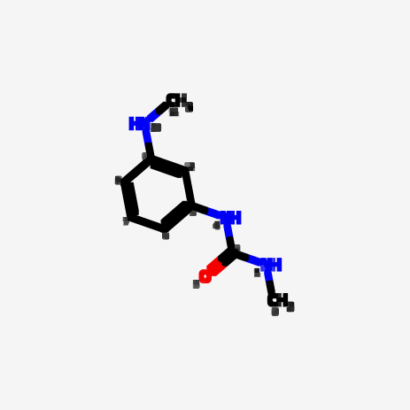 CNC(=O)Nc1cccc(NC)c1